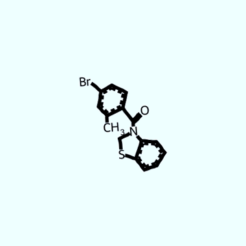 Cc1cc(Br)ccc1C(=O)N1CSc2ccccc21